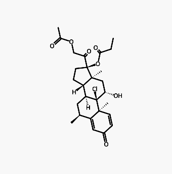 CCC(=O)O[C@]1(C(=O)COC(C)=O)CC[C@H]2[C@@H]3C[C@H](C)C4=CC(=O)C=C[C@]4(C)[C@@]3(Cl)[C@@H](O)C[C@@]21C